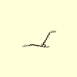 [CH2]CCc1nc(CCCCCCCCCCCCCCCCCCC)nc(CCCCCCCCCCCCCCCCCCC)n1